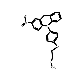 COCCOc1ccc(N2c3ccccc3Cc3cc([N+](=O)[O-])ccc32)cc1